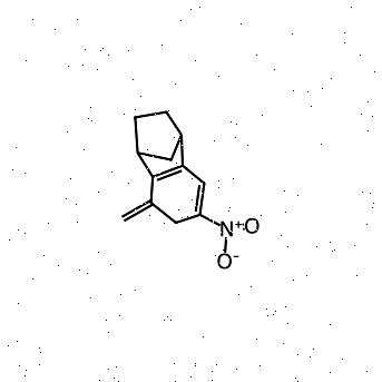 C=C1CC([N+](=O)[O-])=CC2=C1C1CCC2C1